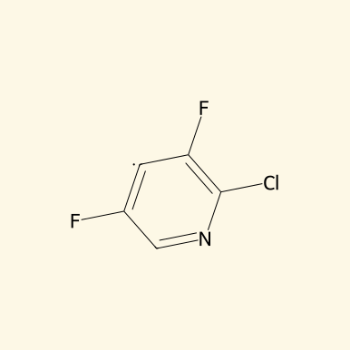 Fc1[c]c(F)c(Cl)nc1